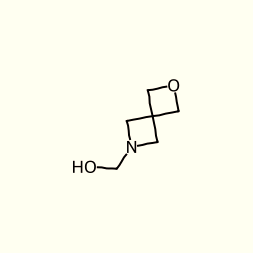 OCN1CC2(COC2)C1